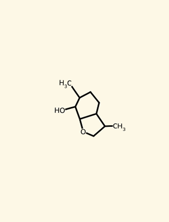 CC1CCC2C(C)COC2C1O